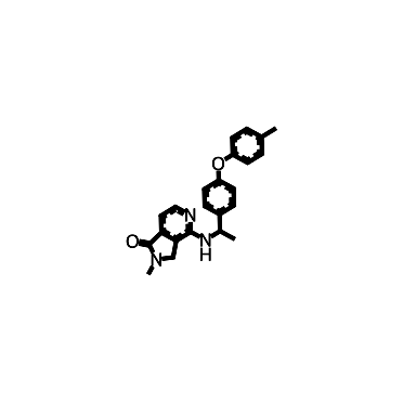 Cc1ccc(Oc2ccc(C(C)Nc3nccc4c3CN(C)C4=O)cc2)cc1